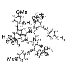 CCOP(C)(=O)c1cc(C#Cc2ccc(C)cc2)cc(CN2CCN(Cc3cc(C#Cc4ccc(OC)cc4)cc(P(C)(C)=O)n3)CCN(Cc3cc(C#Cc4ccc(OC)cc4)cc(P(C)(C)=O)n3)[C@@H](CCCCN)C2)n1